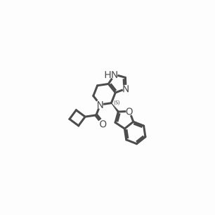 O=C(C1CCC1)N1CCc2[nH]cnc2[C@H]1c1cc2ccccc2o1